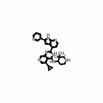 CC1(C)CNCCC1Nc1nc(-c2ccnc3[nH]c(-c4cccnc4)cc23)nc2cncc(C3CC3)c12